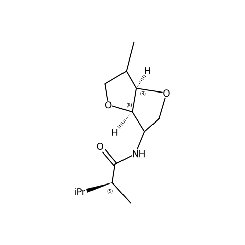 CC(C)[C@H](C)C(=O)NC1CO[C@@H]2C(C)CO[C@H]12